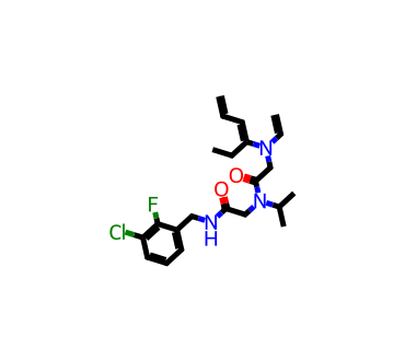 C=C/C=C(\CC)N(C=C)CC(=O)N(CC(=O)NCc1cccc(Cl)c1F)C(C)C